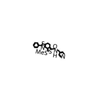 CSc1sc(C(=O)NCc2ccncc2)c2c1-c1nc(-c3ccccc3)sc1CC2